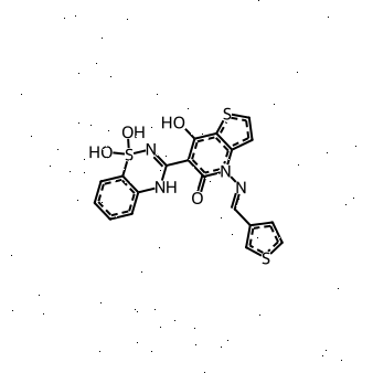 O=c1c(C2=NS(O)(O)c3ccccc3N2)c(O)c2sccc2n1N=Cc1ccsc1